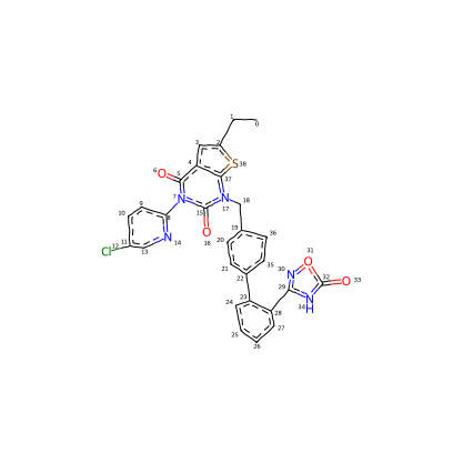 CCc1cc2c(=O)n(-c3ccc(Cl)cn3)c(=O)n(Cc3ccc(-c4ccccc4-c4noc(=O)[nH]4)cc3)c2s1